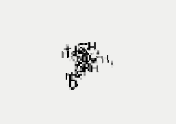 CC(C)C[C@@H](NC(=O)CNC1(C=O)C=Nc2ccccc21)C(=O)OB1OC(C)(C)C(C)(C)O1